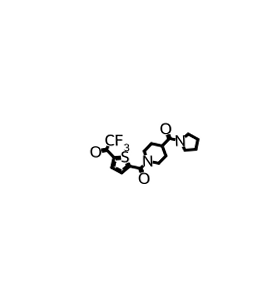 O=C(c1ccc(C(=O)C(F)(F)F)s1)N1CCC(C(=O)N2CCCC2)CC1